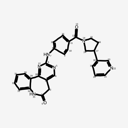 O=C1Cc2cnc(Nc3ccc(C(=O)N4CCC(c5cccnc5)C4)cc3)nc2-c2ccccc2N1